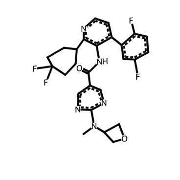 CN(c1ncc(C(=O)Nc2c(-c3cc(F)ccc3F)ccnc2C2CCC(F)(F)CC2)cn1)C1COC1